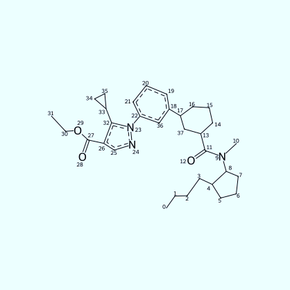 CCCCC1CCCC1N(C)C(=O)C1CCCC(c2cccc(-n3ncc(C(=O)OCC)c3C3CC3)c2)C1